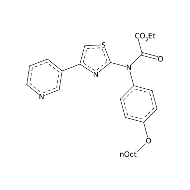 CCCCCCCCOc1ccc(N(C(=O)C(=O)OCC)c2nc(-c3cccnc3)cs2)cc1